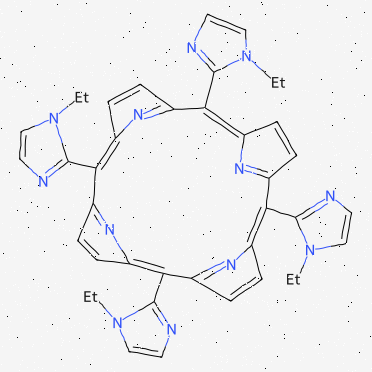 CCn1ccnc1C1=C2C=CC(=N2)C(c2nccn2CC)=C2C=CC(=N2)C(c2nccn2CC)=C2C=CC(=N2)C(c2nccn2CC)=C2C=CC1=N2